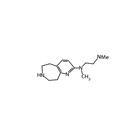 CNCCN(C)c1ccc2c(n1)CCNCC2